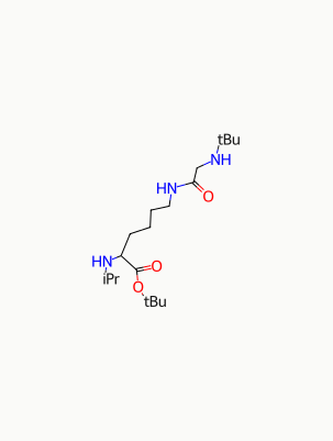 CC(C)NC(CCCCNC(=O)CNC(C)(C)C)C(=O)OC(C)(C)C